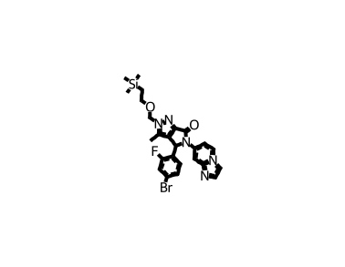 Cc1c2c(nn1COCC[Si](C)(C)C)C(=O)N(c1ccn3ccnc3c1)C2c1ccc(Br)cc1F